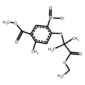 CCOC(=O)C(C)(C)Sc1cc(C)c(C(=O)OC)cc1[N+](=O)[O-]